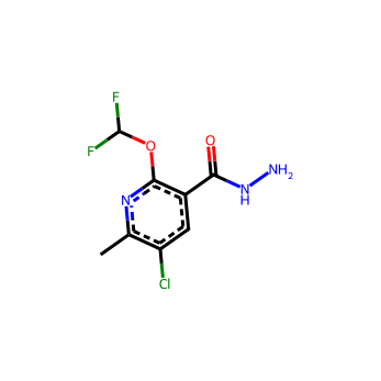 Cc1nc(OC(F)F)c(C(=O)NN)cc1Cl